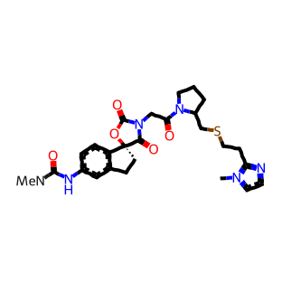 CNC(=O)Nc1ccc2c(c1)CC[C@@]21OC(=O)N(CC(=O)N2CCCC2CSCCc2nccn2C)C1=O